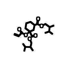 C=CC(=O)OC1(C(=O)OCC(C)C(C)C)CCCC(C(=O)OCC(C)C(C)C)C1